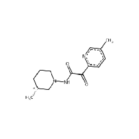 Cc1ccc(C(=O)C(=O)NN2CCC[C@@H](C)C2)nc1